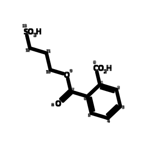 O=C(O)c1ccccc1C(=O)OCCCS(=O)(=O)O